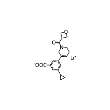 O=C([O-])c1cc(C2=CCCN(C(=O)C3COC3)C2)cc(C2CC2)c1.[Li+]